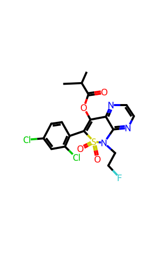 CC(C)C(=O)OC1=C(c2ccc(Cl)cc2Cl)S(=O)(=O)N(CCF)c2nccnc21